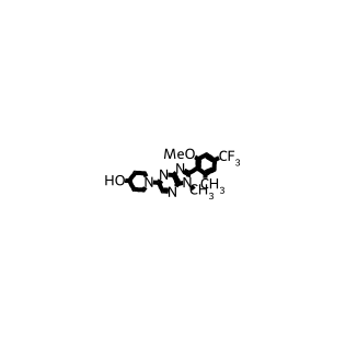 COc1cc(C(F)(F)F)cc(C)c1-c1nc2nc(N3CCC(O)CC3)cnc2n1C